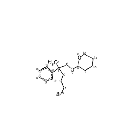 CC(CCCBr)(COC1CCCCO1)c1ccccc1